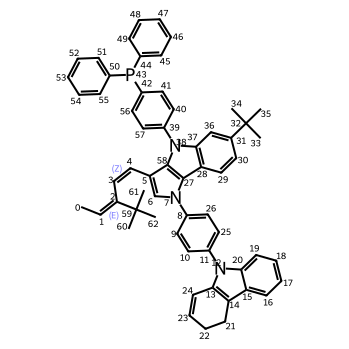 C/C=C(\C=C/c1cn(-c2ccc(-n3c4c(c5ccccc53)CCC=C4)cc2)c2c3ccc(C(C)(C)C)cc3n(-c3ccc(P(c4ccccc4)c4ccccc4)cc3)c12)C(C)(C)C